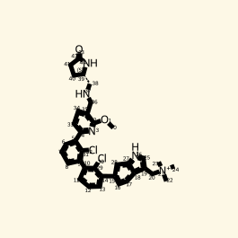 COc1nc(-c2cccc(-c3cccc(-c4ccc5c(C[N+](C)(C)C)c[nH]c5c4)c3Cl)c2Cl)ccc1CNC[C@@H]1CCC(=O)N1